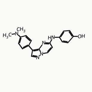 CN(C)c1ccc(-c2cnn3ccc(Nc4ccc(O)cc4)nc23)cc1